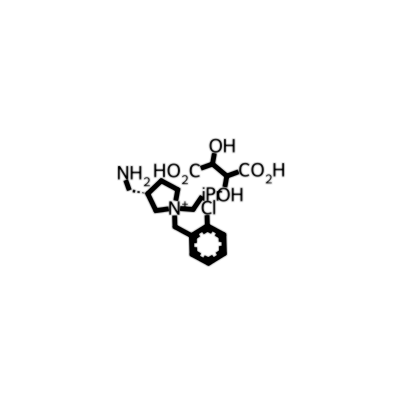 CC(C)C[N+]1(Cc2ccccc2Cl)CC[C@@H](CN)C1.O=C(O)C(O)C(O)C(=O)O